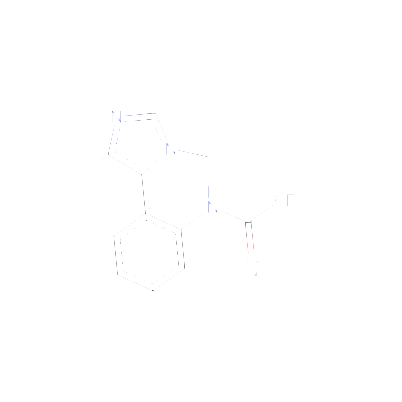 Cn1cncc1-c1ccccc1NC(=O)C(F)(F)F